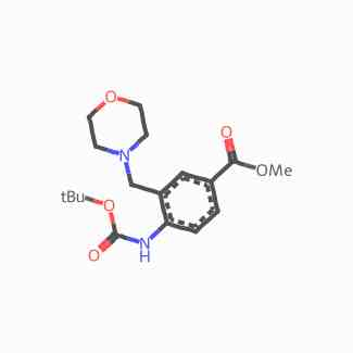 COC(=O)c1ccc(NC(=O)OC(C)(C)C)c(CN2CCOCC2)c1